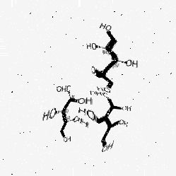 O=C(CO)[C@@H](O)[C@H](O)CO.O=CC(O)C(O)C(O)CO.O=C[C@H](O)[C@@H](O)[C@H](O)CO